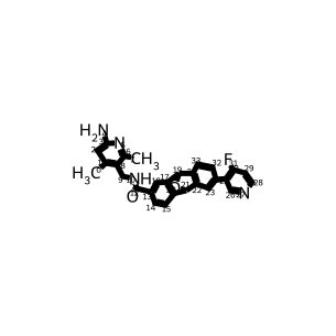 Cc1cc(N)nc(C)c1CNC(=O)c1ccc2c(c1)C1OC2c2cc(-c3cnccc3F)ccc21